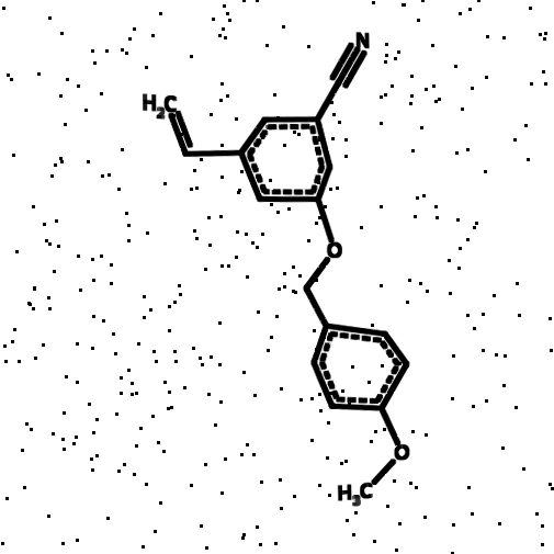 C=Cc1cc(C#N)cc(OCc2ccc(OC)cc2)c1